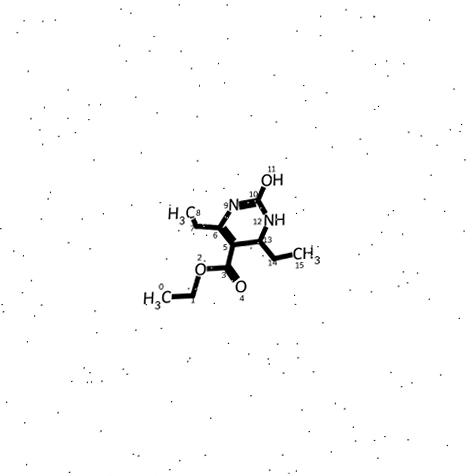 CCOC(=O)C1=C(CC)N=C(O)NC1CC